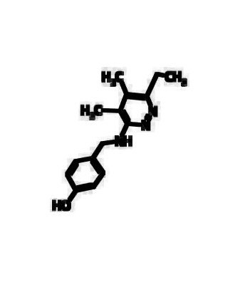 CCc1nnc(NCc2ccc(O)cc2)c(C)c1C